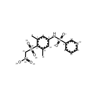 Cc1cc(NS(=O)(=O)c2cccnc2)cc(C)c1S(=O)(=O)C[N+](=O)[O-]